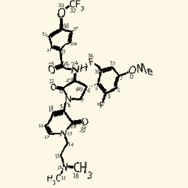 COc1cc(F)c([C@@H]2CN(c3cccn(CCN(C)C)c3=O)C(=O)C2NC(=O)c2ccc(OC(F)(F)F)cc2)c(F)c1